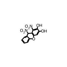 O=[N+]([O-])c1c(O)c(O)cc2c1C([N+](=O)[O-])c1ccccc1O2